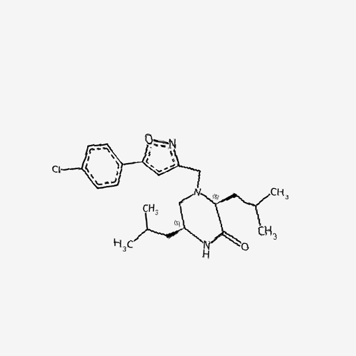 CC(C)C[C@H]1CN(Cc2cc(-c3ccc(Cl)cc3)on2)[C@@H](CC(C)C)C(=O)N1